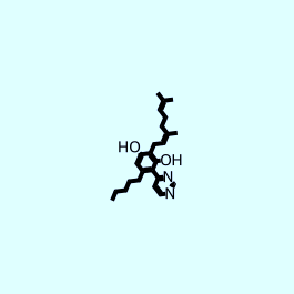 CCCCCc1cc(O)c(CC=C(C)CCC=C(C)C)c(O)c1-c1ccncn1